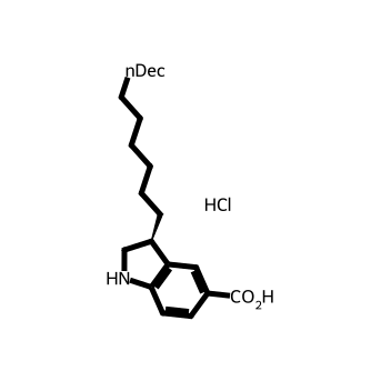 CCCCCCCCCCCCCCCC[C@@H]1CNc2ccc(C(=O)O)cc21.Cl